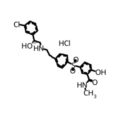 CNC(=O)c1cc(S(=O)(=O)c2ccc(CCNC[C@@H](O)c3cccc(Cl)c3)cc2)ccc1O.Cl